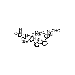 COc1nc(-c2cccc(-c3ccnc(-c4cc(OC)c5nc(C=O)nn5c4)c3Cl)c2Cl)ccc1CN(C[C@@H]1CCC(=O)N1)C(=O)OC(C)(C)C